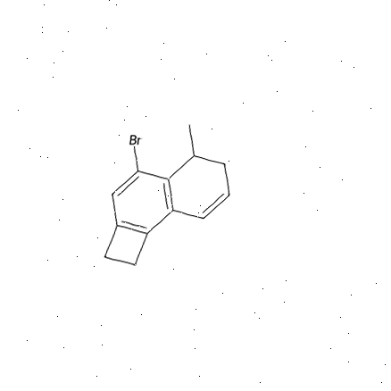 CC1CC=Cc2c3c(cc(Br)c21)CC3